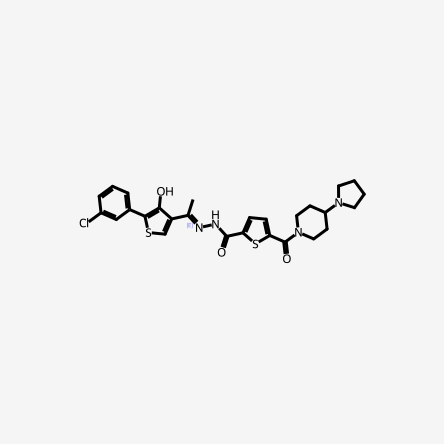 C/C(=N\NC(=O)c1ccc(C(=O)N2CCC(N3CCCC3)CC2)s1)c1csc(-c2cccc(Cl)c2)c1O